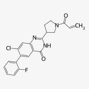 C=CC(=O)N1CCC(c2nc3cc(Cl)c(-c4ccccc4F)cc3c(=O)[nH]2)C1